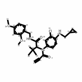 C#CC(=O)N(c1ccc(NCC2CC2)c(Cl)c1)C(C(=O)NCc1ccc(OC)cc1OC)C(C)(C)C